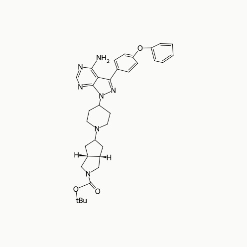 CC(C)(C)OC(=O)N1C[C@H]2CC(N3CCC(n4nc(-c5ccc(Oc6ccccc6)cc5)c5c(N)ncnc54)CC3)C[C@H]2C1